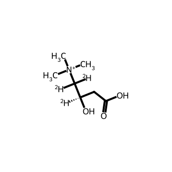 [2H]C([2H])([C@]([2H])(O)CC(=O)O)[N+](C)(C)C